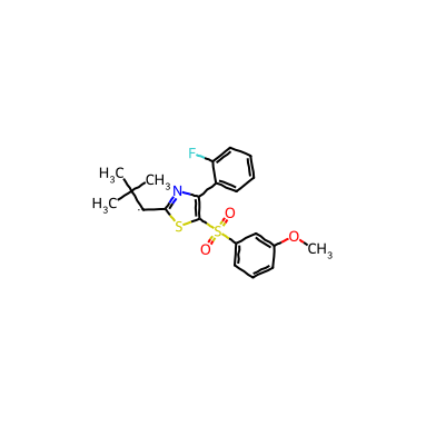 COc1cccc(S(=O)(=O)c2sc([CH]C(C)(C)C)nc2-c2ccccc2F)c1